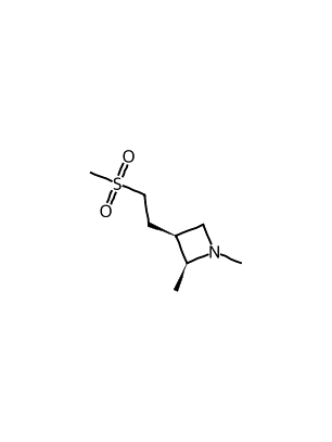 C[C@H]1[C@@H](CCS(C)(=O)=O)CN1C